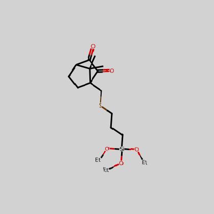 CCO[Si](CCCSCC12CCC(C(=O)C1=O)C2(C)C)(OCC)OCC